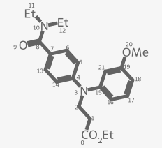 CCOC(=O)CCN(c1ccc(C(=O)N(CC)CC)cc1)c1cccc(OC)c1